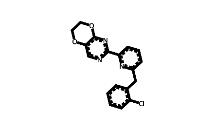 Clc1ccccc1Cc1cccc(-c2ncc3c(n2)OCCO3)n1